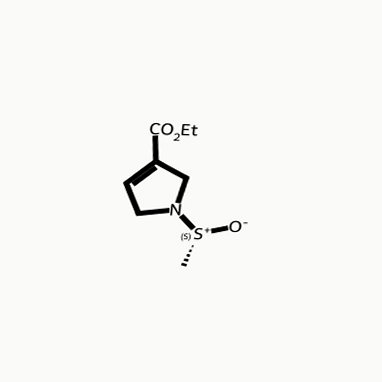 CCOC(=O)C1=CCN([S@@+](C)[O-])C1